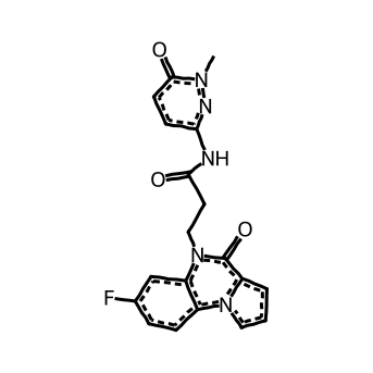 Cn1nc(NC(=O)CCn2c(=O)c3cccn3c3ccc(F)cc32)ccc1=O